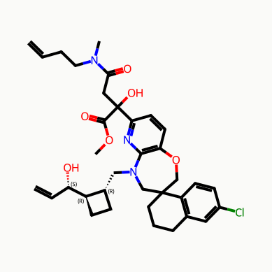 C=CCCN(C)C(=O)CC(O)(C(=O)OC)c1ccc2c(n1)N(C[C@@H]1CC[C@H]1[C@@H](O)C=C)CC1(CCCc3cc(Cl)ccc31)CO2